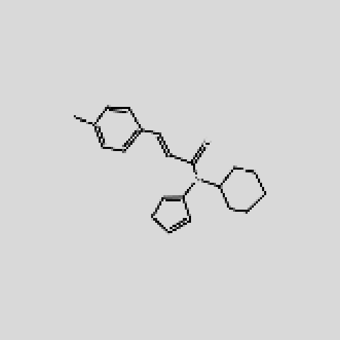 Cc1ccc(/C=C/C(=O)N(c2ccsc2)C2CCCCC2)cc1